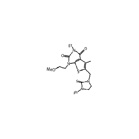 CCn1c(=O)c2c(C)c(CN3CCN(C(C)C)C3=S)sc2n(CCOC)c1=O